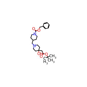 CC(C)(C)OC(=O)CC1(O)CCN(CC2CCN(C(=O)OCc3ccccc3)CC2)CC1